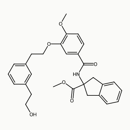 COC(=O)C1(NC(=O)c2ccc(OC)c(OCCc3cccc(CCO)c3)c2)Cc2ccccc2C1